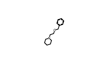 c1ccc(COCCN2CCCCC2)cc1